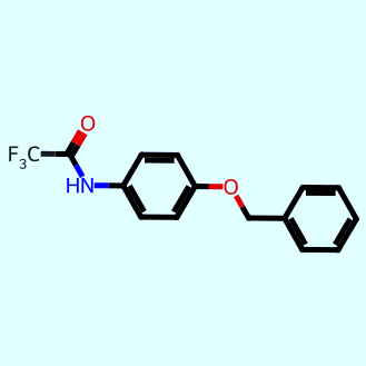 O=C(Nc1ccc(OCc2ccccc2)cc1)C(F)(F)F